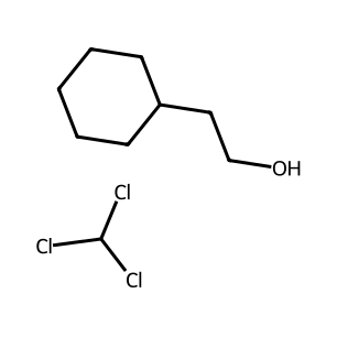 ClC(Cl)Cl.OCCC1CCCCC1